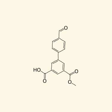 COC(=O)c1cc(C(=O)O)cc(-c2ccc(C=O)cc2)c1